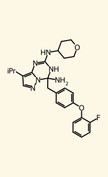 CC(C)c1cnn2c1N=C(NC1CCOCC1)NC2(N)Cc1ccc(Oc2ccccc2F)cc1